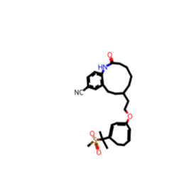 CC(C)(/C1=C/C=C(OCCC2CCCCC(=O)Nc3ccc(C#N)cc3CC2)\C=C/CC1)S(C)(=O)=O